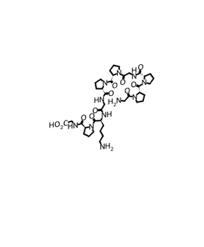 NCCCC[C@H](NC(=O)CNC(=O)[C@@H]1CCCN1C(=O)[C@@H]1CCCN1C(=O)CNC(=O)[C@@H]1CCCN1C(=O)[C@@H]1CCCN1C(=O)CN)C(=O)N1CCC[C@H]1C(=O)NCC(=O)O